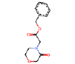 O=C(CN1CCOCC1=O)OCc1ccccc1